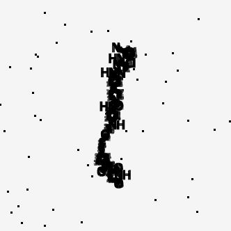 N#Cc1ccccc1Nc1nc(Nc2ccc(C3CCN(C(=O)N[C@H]4CC[C@@H](NCCOCCC#Cc5ccc6c(c5)CN(C5CCC(=O)NC5=O)C6=O)CC4)CC3)cc2)ncc1Cl